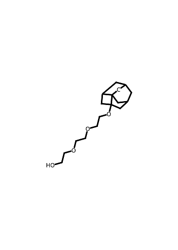 OCCOCCOCCOC12CC3CC4CC(C1)C2(C4)C3